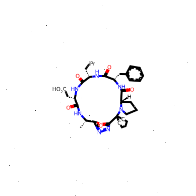 CC(C)C[C@@H]1NC(=O)[C@H](Cc2ccccc2)NC(=O)[C@@H]2CCCN2C2(CCCCC2)c2nnc(o2)[C@H](C)NC(=O)[C@H](CC(=O)O)NC1=O